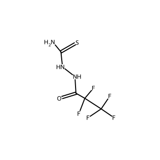 NC(=S)NNC(=O)C(F)(F)C(F)(F)F